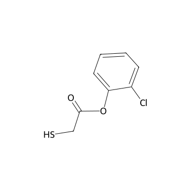 O=C(CS)Oc1ccccc1Cl